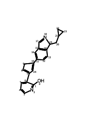 Oc1ncccc1C1=CCC(c2ccc3c(c2)C=NC3CC2CC2)=C1